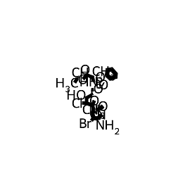 CC(C)OC(=O)[C@@H](C)N[P@](=O)(OC[C@H]1OC(n2cc(Br)c(N)nc2=O)[C@](C)(Cl)[C@@H]1O)Oc1ccccc1